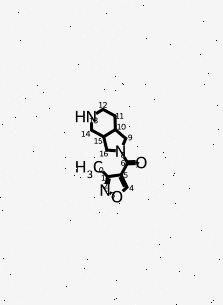 Cc1nocc1C(=O)N1CC2CCNCC2C1